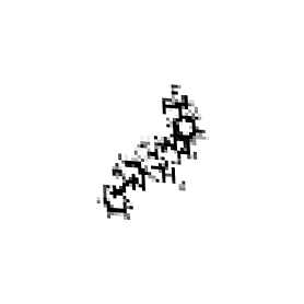 Cc1nc(-c2ncccn2)ncc1OC(=O)Nn1ccc2ccc(C(F)(F)F)cc21